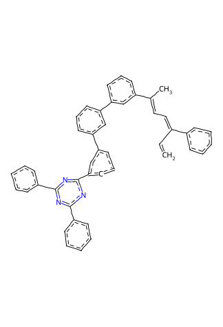 C=C/C(=C\C=C(/C)c1cccc(-c2cccc(-c3cccc(-c4nc(-c5ccccc5)nc(-c5ccccc5)n4)c3)c2)c1)c1ccccc1